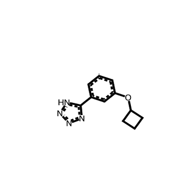 [c]1cc(OC2CCC2)cc(-c2nnn[nH]2)c1